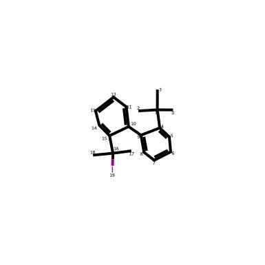 CC(C)(C)c1ccccc1-c1ccccc1C(C)(C)I